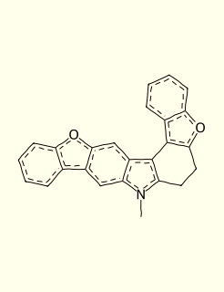 Cn1c2c(c3cc4oc5ccccc5c4cc31)-c1c(oc3ccccc13)CC2